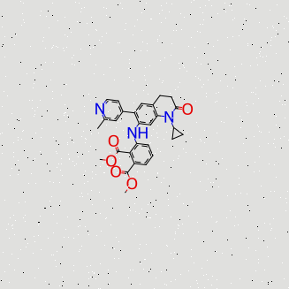 COC(=O)c1cccc(Nc2cc3c(cc2-c2ccnc(C)c2)CCC(=O)N3C2CC2)c1C(=O)OC